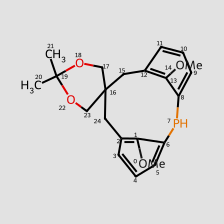 COc1c2cccc1Pc1cccc(c1OC)CC1(COC(C)(C)OC1)C2